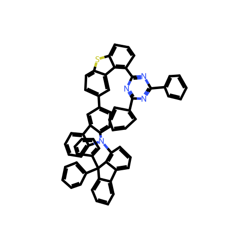 c1ccc(-c2nc(-c3ccccc3)nc(-c3cccc4sc5ccc(-c6ccc7c(c6)c6ccccc6n7-c6cccc7c6C(c6ccccc6)(c6ccccc6)c6ccccc6-7)cc5c34)n2)cc1